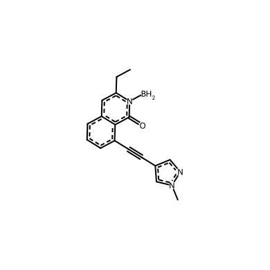 Bn1c(CC)cc2cccc(C#Cc3cnn(C)c3)c2c1=O